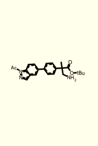 CC(=O)n1ncc2cc(-c3ccc(C(C)(CN)C(=O)OC(C)(C)C)cc3)ccc21